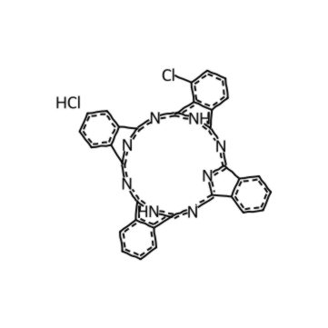 Cl.Clc1cccc2c3nc4nc(nc5[nH]c(nc6nc(nc([nH]3)c12)-c1ccccc1-6)c1ccccc51)-c1ccccc1-4